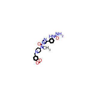 CN(C(=O)n1cnc(-c2cccc(NC(N)=O)c2)c1)C1CCN(Cc2ccc3c(c2)OCO3)CC1